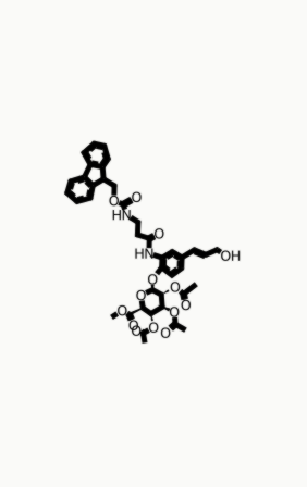 COC(=O)[C@H]1O[C@@H](Oc2ccc(C=CCO)cc2NC(=O)CCNC(=O)OCC2c3ccccc3-c3ccccc32)[C@H](OC(C)=O)[C@@H](OC(C)=O)[C@@H]1OC(C)=O